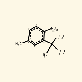 CCC(C(=O)O)(C(=O)O)c1cc(C)ccc1[N+](=O)[O-]